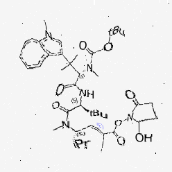 C/C(=C\[C@H](C(C)C)N(C)C(=O)[C@@H](NC(=O)[C@@H](N(C)C(=O)OC(C)(C)C)C(C)(C)c1cn(C)c2ccccc12)C(C)(C)C)C(=O)ON1C(=O)CCC1O